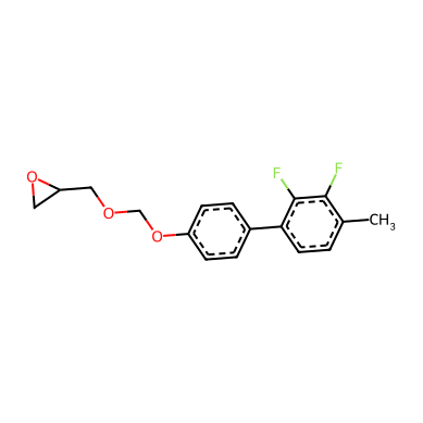 Cc1ccc(-c2ccc(OCOCC3CO3)cc2)c(F)c1F